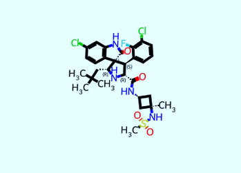 CC(C)(C)C[C@H]1N[C@@H](C(=O)N[C@H]2C[C@](C)(NS(C)(=O)=O)C2)[C@H](c2cccc(Cl)c2F)[C@@]12C(=O)Nc1cc(Cl)ccc12